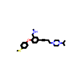 CNCc1cc(C#CCCN2CCN(C(C)C)CC2)ccc1Oc1ccc(SC)cc1